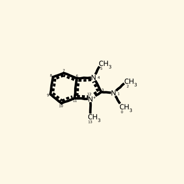 CN(C)c1n(C)c2ccccc2[n+]1C